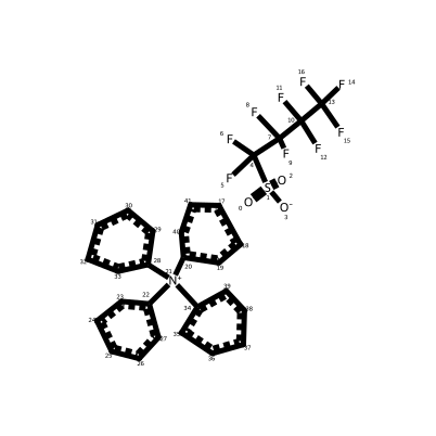 O=S(=O)([O-])C(F)(F)C(F)(F)C(F)(F)C(F)(F)F.c1ccc([N+](c2ccccc2)(c2ccccc2)c2ccccc2)cc1